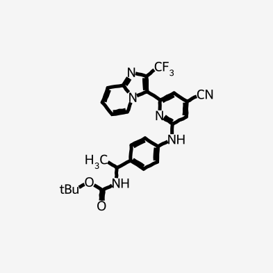 CC(NC(=O)OC(C)(C)C)c1ccc(Nc2cc(C#N)cc(-c3c(C(F)(F)F)nc4ccccn34)n2)cc1